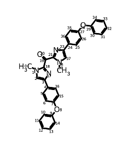 Cn1cc(-c2ccc(Oc3ccccc3)cc2)nc1C(=O)c1nc(-c2ccc(Oc3ccccc3)cc2)cn1C